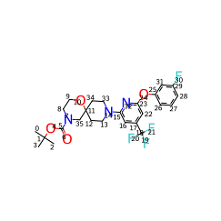 CC(C)(C)OC(=O)N1CCOC2(CCN(c3cc(C(F)(F)F)cc(Oc4cccc(F)c4)n3)CC2)C1